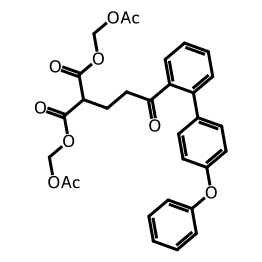 CC(=O)OCOC(=O)C(CCC(=O)c1ccccc1-c1ccc(Oc2ccccc2)cc1)C(=O)OCOC(C)=O